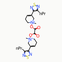 CCCc1nsnc1C1=CCC[N+](C)(OC(=O)C(=O)O[N+]2(C)CCC=C(c3nsnc3CCC)C2)C1